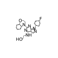 OCCNc1nc(N2CCOc3ccccc32)nc2c1cnn2-c1ccc(F)cc1